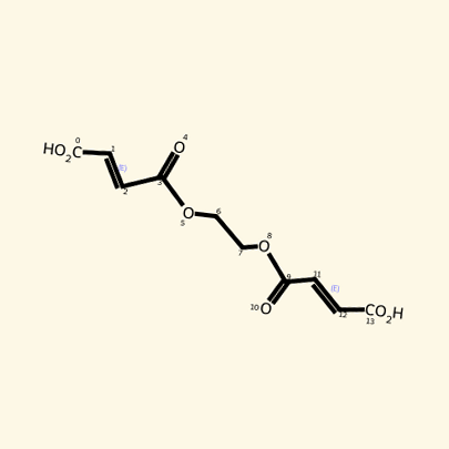 O=C(O)/C=C/C(=O)OCCOC(=O)/C=C/C(=O)O